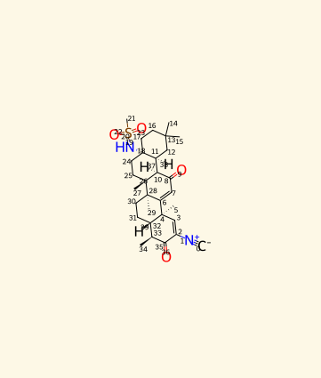 [C-]#[N+]C1=C[C@]2(C)C3=CC(=O)[C@@H]4[C@@H]5CC(C)(C)CC[C@]5(NS(C)(=O)=O)CC[C@@]4(C)[C@]3(C)CC[C@H]2[C@H](C)C1=O